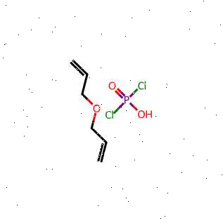 C=CCOCC=C.O=P(O)(Cl)Cl